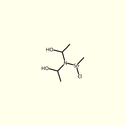 CC(O)[N](C(C)O)[Sn]([CH3])[Cl]